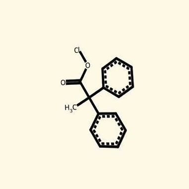 CC(C(=O)OCl)(c1ccccc1)c1ccccc1